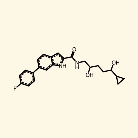 O=C(NCC(O)CCC(O)C1CC1)c1cc2ccc(-c3ccc(F)cc3)cc2[nH]1